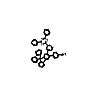 N#Cc1ccc(-c2cc3c(cc2-c2cccc(-c4nc(-c5ccccc5)nc(-c5ccccc5)n4)c2)C(c2ccccc2)(c2ccccc2)c2ccccc2-3)cc1